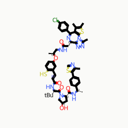 Cc1ncsc1-c1ccc([C@H](C)NC(=O)[C@@H]2C[C@@H](O)CN2C(=O)[C@@H](NC(=O)/C=C/c2cc(O[C@@H](C)CNC(=O)C[C@@H]3N=C(c4ccc(Cl)cc4)c4c(sc(C)c4C)-n4c(C)nnc43)ccc2S)C(C)(C)C)cc1